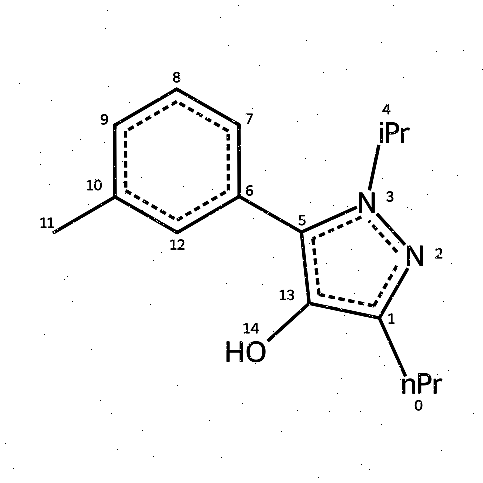 CCCc1nn(C(C)C)c(-c2cccc(C)c2)c1O